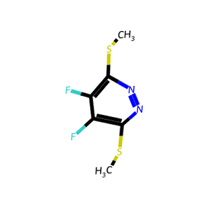 CSc1nnc(SC)c(F)c1F